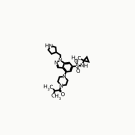 CC(C)C(=O)N1CCN(c2cc(S(=O)(=O)NC3(C)CC3)cc3c2cnn3CC2CCNC2)CC1